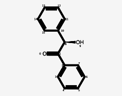 O=C(c1ccccc1)[C@H](O)c1ccccc1